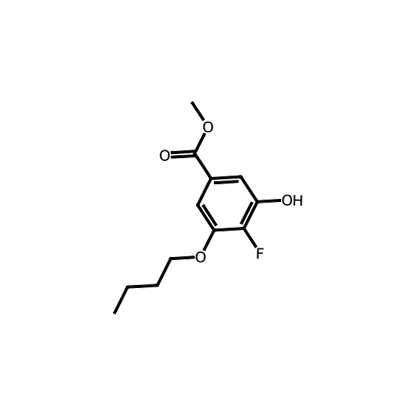 CCCCOc1cc(C(=O)OC)cc(O)c1F